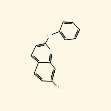 CC(C)c1ccc2ccc(Nc3ccccc3)nc2c1